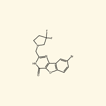 O=c1[nH]c(CN2CCC(F)(F)C2)nc2c1oc1ccc(Br)cc12